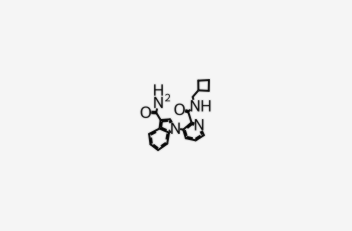 NC(=O)c1cn(-c2cccnc2C(=O)NCC2CCC2)c2ccccc12